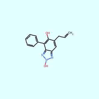 C=CCc1cc2nn(O)nc2c(-c2ccccc2)c1O